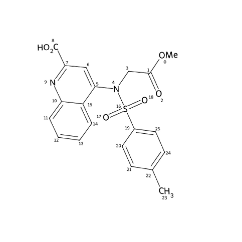 COC(=O)CN(c1cc(C(=O)O)nc2ccccc12)S(=O)(=O)c1ccc(C)cc1